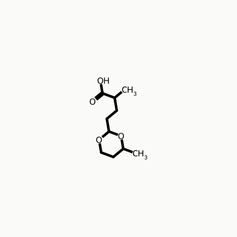 CC1CCOC(CCC(C)C(=O)O)O1